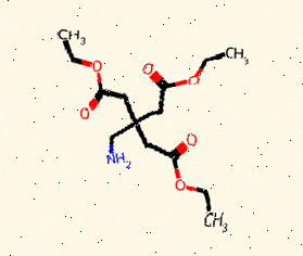 CCOC(=O)CC(CN)(CC(=O)OCC)CC(=O)OCC